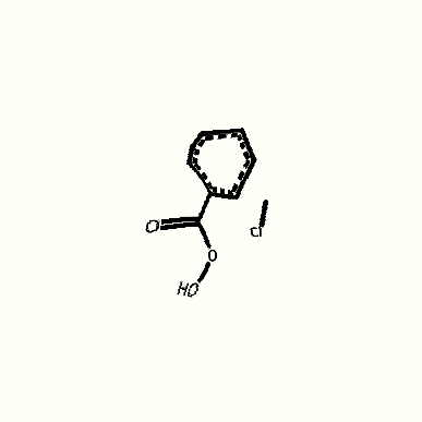 CCl.O=C(OO)c1ccccc1